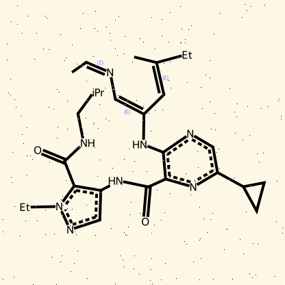 C\C=N/C=C(\C=C(/C)CC)Nc1ncc(C2CC2)nc1C(=O)Nc1cnn(CC)c1C(=O)NCC(C)C